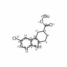 CC(C)(C)OC(=O)C1CCc2[nH]c3nnc(Cl)cc3c2C1